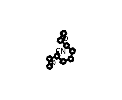 N#Cc1cc(-c2cccc(-c3cccc(-c4cccc(-c5ccc(-c6cccc7c6oc6ccccc67)cc5)c4)c3)c2)cc(-c2cccc3c2oc2ccccc23)c1